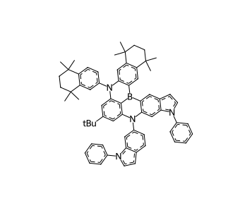 CC(C)(C)c1cc2c3c(c1)N(c1ccc4ccn(-c5ccccc5)c4c1)c1cc4c(ccn4-c4ccccc4)cc1B3c1cc3c(cc1N2c1ccc2c(c1)C(C)(C)CCC2(C)C)C(C)(C)CCC3(C)C